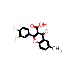 Cc1ccc2oc(-c3ccc(F)c(F)c3)c(C(=O)O)c(=O)c2c1